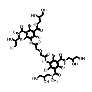 CN(CC(O)CO)C(=O)c1c(Br)c(NC(=O)COCC(=O)Nc2c(Br)c(C(=O)NCC(O)CO)c(Br)c(C(=O)N(C)CC(O)CO)c2Br)c(Br)c(C(=O)NCC(O)CO)c1Br